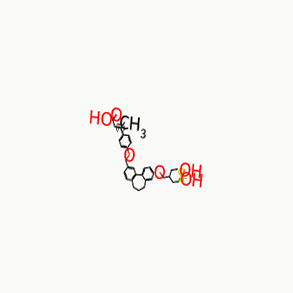 C[C@H](CC(=O)O)c1ccc(OCc2ccc3c(c2)-c2ccc(OCC4CCS(O)(O)CC4)cc2CCC3)cc1